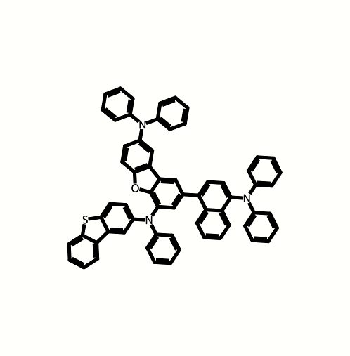 c1ccc(N(c2ccccc2)c2ccc3oc4c(N(c5ccccc5)c5ccc6sc7ccccc7c6c5)cc(-c5ccc(N(c6ccccc6)c6ccccc6)c6ccccc56)cc4c3c2)cc1